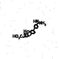 N=C(N)c1ccc(-c2ccc(C[C@@H]3C[C@@H](CC(=O)O)NC3=O)cc2)cc1